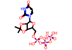 CC1(C)OC2C(COP(=O)(O)OP(=O)(O)OP(=O)(O)O)OC(n3ccc(=O)[nH]c3=O)C2O1